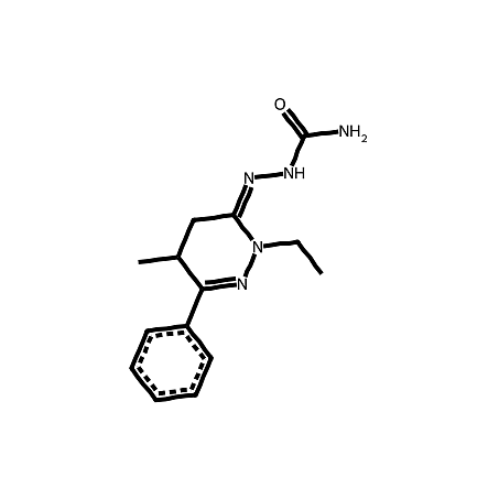 CCN1N=C(c2ccccc2)C(C)CC1=NNC(N)=O